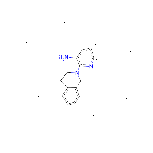 Nc1cccnc1N1CCc2ccccc2C1